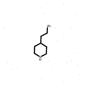 C[C](C)CCC1CCNCC1